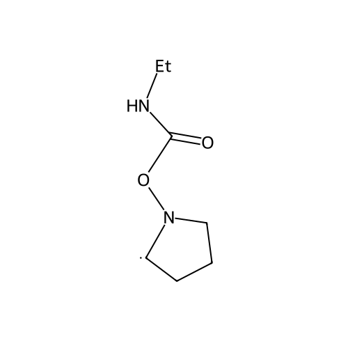 CCNC(=O)ON1[CH]CCC1